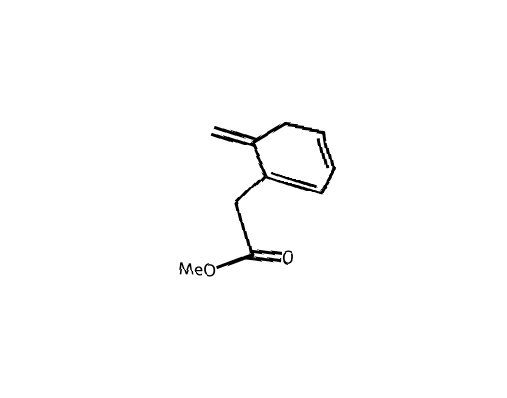 C=C1CC=CC=C1CC(=O)OC